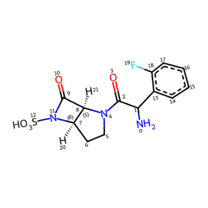 NC(C(=O)N1CC[C@@H]2[C@H]1C(=O)N2S(=O)(=O)O)c1ccccc1F